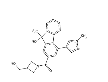 Cn1cc(-c2cc(C(=O)N3CC(CO)C3)cc3c2-c2ccccc2C3(O)C(F)(F)F)cn1